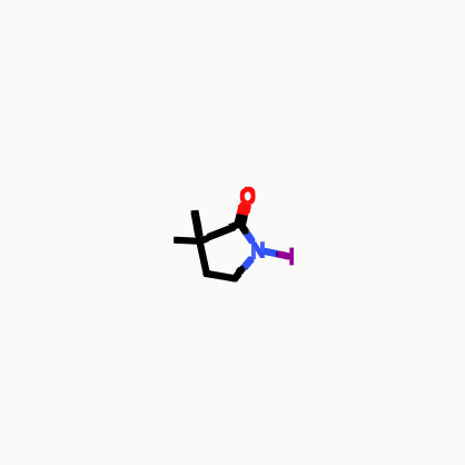 CC1(C)CCN(I)C1=O